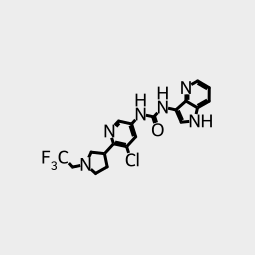 O=C(Nc1cnc(C2CCN(CC(F)(F)F)C2)c(Cl)c1)Nc1c[nH]c2cccnc12